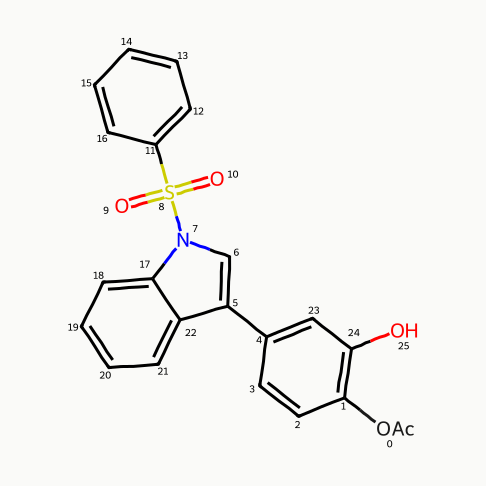 CC(=O)Oc1ccc(-c2cn(S(=O)(=O)c3ccccc3)c3ccccc23)cc1O